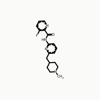 CN1CCC(Cc2cccc(NC(=O)c3ncccc3F)n2)CC1